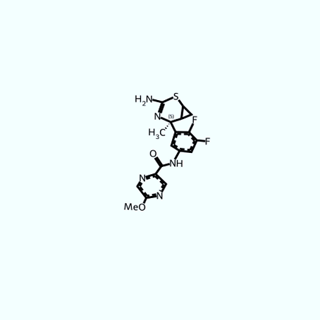 COc1cnc(C(=O)Nc2cc(F)c(F)c([C@@]3(C)N=C(N)SC4CC43)c2)cn1